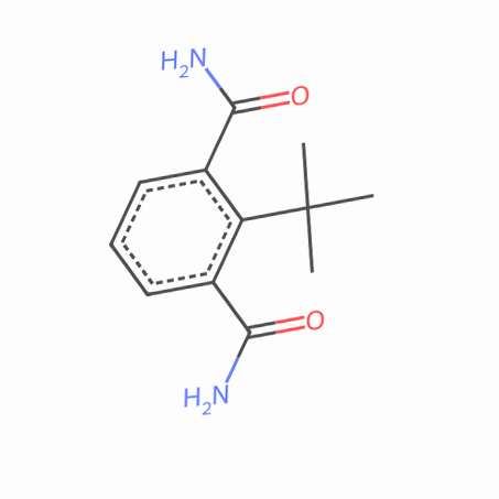 CC(C)(C)c1c(C(N)=O)cccc1C(N)=O